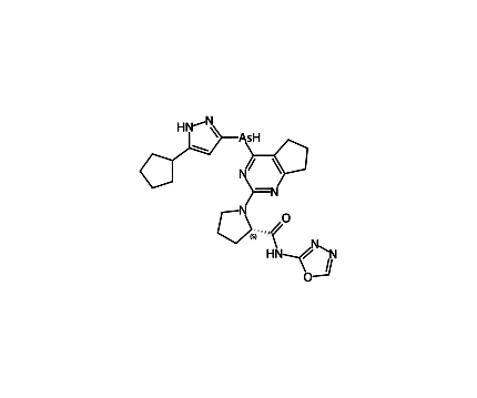 O=C(Nc1nnco1)[C@@H]1CCCN1c1nc2c(c([AsH]c3cc(C4CCCC4)[nH]n3)n1)CCC2